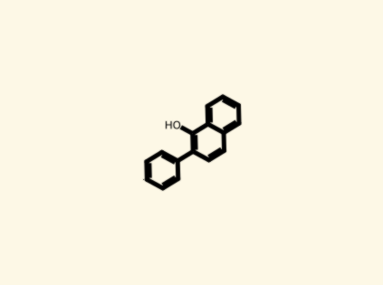 Oc1c(-c2cc[c]cc2)ccc2ccccc12